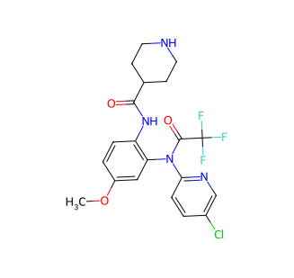 COc1ccc(NC(=O)C2CCNCC2)c(N(C(=O)C(F)(F)F)c2ccc(Cl)cn2)c1